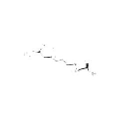 CC(N)COCCCCNC(=O)O